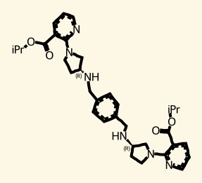 CC(C)OC(=O)c1cccnc1N1CC[C@@H](NCc2ccc(CN[C@@H]3CCN(c4ncccc4C(=O)OC(C)C)C3)cc2)C1